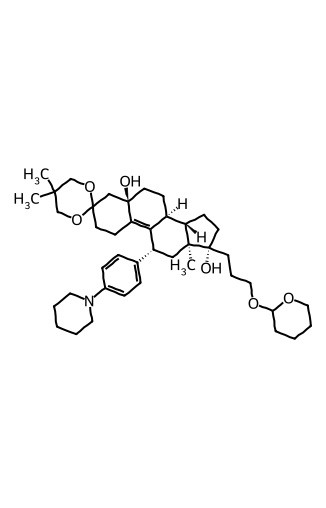 CC1(C)COC2(CCC3=C4[C@@H](CC[C@@]3(O)C2)[C@@H]2CC[C@@](O)(CCCOC3CCCCO3)[C@@]2(C)C[C@@H]4c2ccc(N3CCCCC3)cc2)OC1